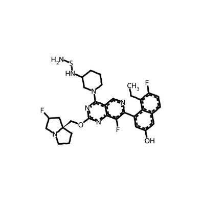 CCc1c(F)ccc2cc(O)cc(-c3ncc4c(N5CCCC(NSN)C5)nc(OC[C@@]56CCCN5CC(F)C6)nc4c3F)c12